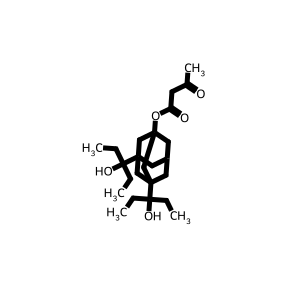 CCC(O)(CC)C12CC3CC(OC(=O)CC(C)=O)(C1)CC(C(O)(CC)CC)(C3)C2